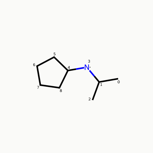 CC(C)[N]C1CCCC1